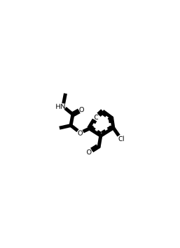 CNC(=O)C(C)Oc1cccc(Cl)c1C=O